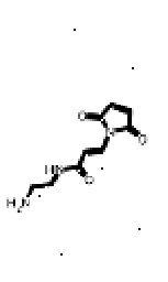 NCCNC(=O)C=CN1C(=O)C=CC1=O